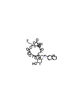 CC1CC(C)C(O)C(O[C@@H]2[C@@H](C)C(=O)[C@](C)(F)C(=O)O[C@H](CCF)[C@@]3(C)OC(=O)N[C@@H]3[C@@H](C)C(=O)[C@H](C)C[C@@]2(C)OC/C=C/c2ccc3cccnc3c2)O1